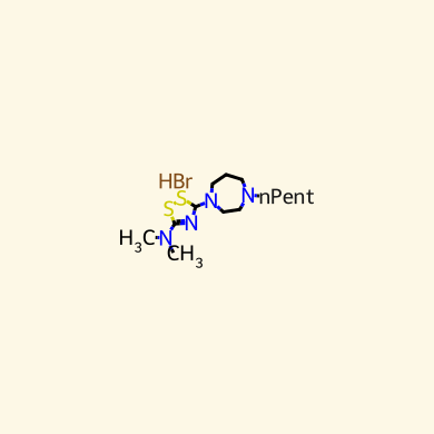 Br.CCCCCN1CCCN(C2N=C(N(C)C)SS2)CC1